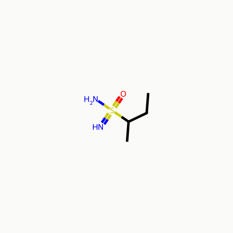 CCC(C)S(=N)(N)=O